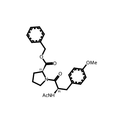 COc1ccc(C[C@@H](NC(C)=O)C(=O)N2CCC[C@H]2C(=O)OCc2ccccc2)cc1